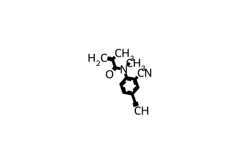 C#Cc1ccc(N(C)C(=O)C(=C)C)c(C#N)c1